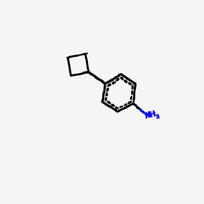 Nc1ccc(C2[CH]CC2)cc1